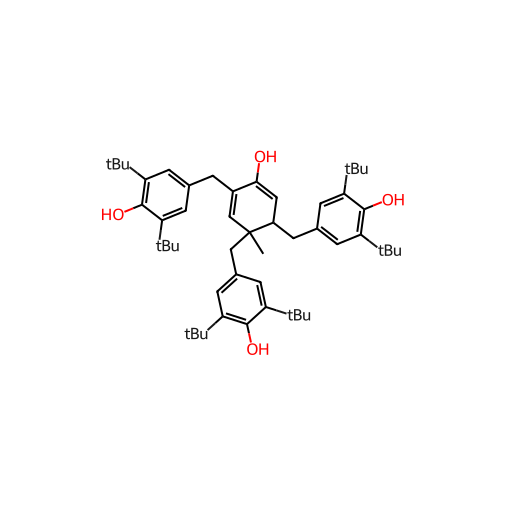 CC(C)(C)c1cc(CC2=CC(C)(Cc3cc(C(C)(C)C)c(O)c(C(C)(C)C)c3)C(Cc3cc(C(C)(C)C)c(O)c(C(C)(C)C)c3)C=C2O)cc(C(C)(C)C)c1O